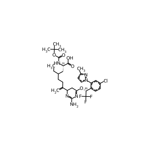 C=C(CCC(CC)C[C@H](NC(=O)OC(C)(C)C)C(=O)O)C1CC(O[C@H](c2ccc(Cl)cc2-n2ccc(C)n2)C(F)(F)F)=NC(N)=N1